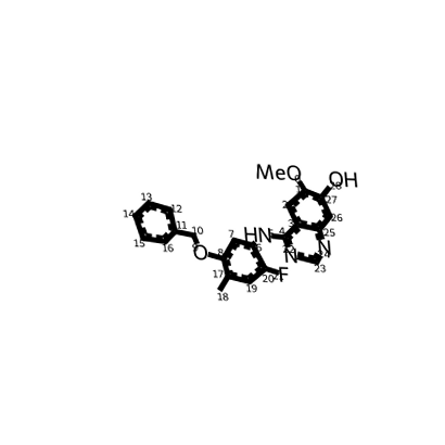 COc1cc2c(Nc3cc(OCc4ccccc4)c(C)cc3F)ncnc2cc1O